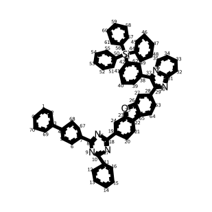 c1ccc(-c2ccc(-c3nc(-c4ccccc4)nc(-c4ccc5c(c4)oc4cc(-c6nc7ccccn7c6-c6cccc([Si](c7ccccc7)(c7ccccc7)c7ccccc7)c6)ccc45)n3)cc2)cc1